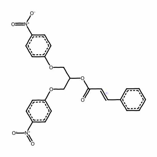 O=C(/C=C/c1ccccc1)OC(COc1ccc([N+](=O)[O-])cc1)COc1ccc([N+](=O)[O-])cc1